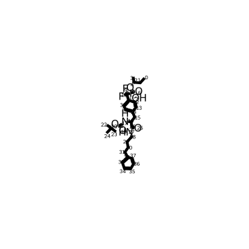 CCC(C)OP(=O)(O)C(F)(F)c1ccc(CC(NC(=O)OC(C)(C)C)C(=O)NCCCCc2ccccc2)cc1